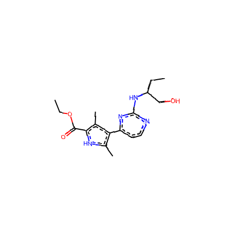 CCOC(=O)c1[nH]c(C)c(-c2ccnc(NC(CC)CO)n2)c1C